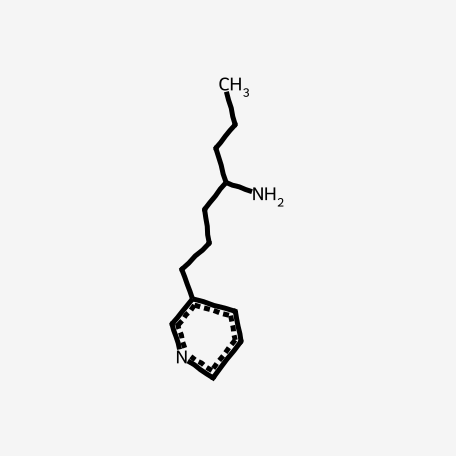 CCCC(N)CCCc1cccnc1